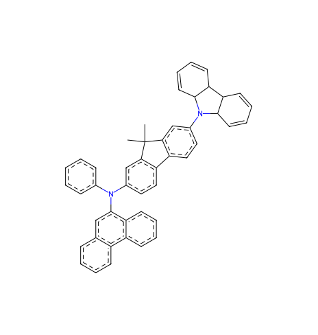 CC1(C)c2cc(N(c3ccccc3)c3cc4ccccc4c4ccccc34)ccc2-c2ccc(N3C4C=CC=CC4C4C=CC=CC43)cc21